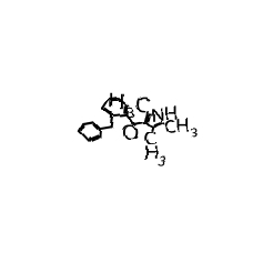 Cc1[nH]c(C)c(C(=O)c2ccccc2Cc2ccccc2)c1C